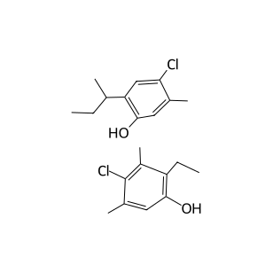 CCC(C)c1cc(Cl)c(C)cc1O.CCc1c(O)cc(C)c(Cl)c1C